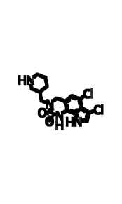 O=S1(=O)Nc2c(cc(Cl)c3c(Cl)c[nH]c23)CN1CC1CCCNC1